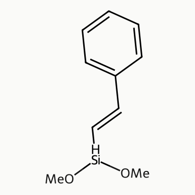 CO[SiH](C=Cc1ccccc1)OC